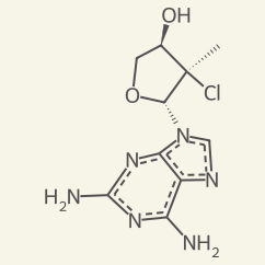 C[C@@]1(Cl)[C@H](O)CO[C@H]1n1cnc2c(N)nc(N)nc21